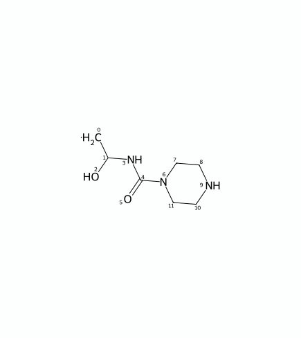 [CH2]C(O)NC(=O)N1CCNCC1